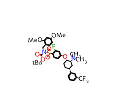 COc1ccc(CN(C(=O)OC(C)(C)C)S(=O)(=O)c2ccc(O[C@H]3CC[C@H](c4cccc(C(F)(F)F)c4)C[C@@H]3N(C)C)cc2F)c(OC)c1